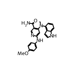 COc1ccc(Nc2cc(N(C)c3cccc4[nH]ccc34)c(C(N)=O)cn2)cc1